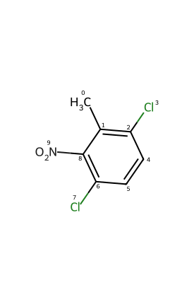 Cc1c(Cl)ccc(Cl)c1[N+](=O)[O-]